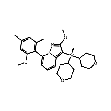 COc1cc(C)cc(C)c1-c1cccc2c([N+](C)(C3CCOCC3)C3CCOCC3)c(OC)nn12